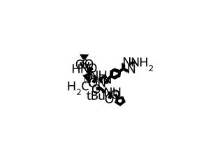 C=C[C@@H]1C[C@]1(NC(=O)[C@@H]1CN(c2ccc(-c3cnc(N)nc3)cc2)CN1C(=O)C(NC(=O)OC1CCCC1)C(C)(C)C)C(=O)NS(=O)(=O)C1CC1